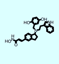 O=C(C=Cc1ccc2c(c1)CCC2N(CCc1c[nH]c2ccccc12)Cc1cc(O)ccc1O)NO